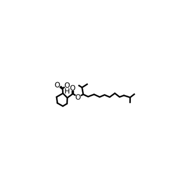 CC(C)CCCCCCCCC(OC(=O)C1CCCCC1C(=O)O)C(C)C